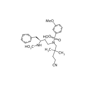 COc1cccc(S(=O)(=O)N(C[C@@H](O)[C@H](Cc2ccccc2)NC(=O)O)CC(C)(C)CCC#N)c1